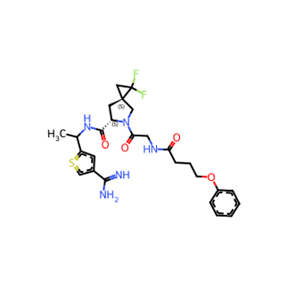 CC(NC(=O)[C@@H]1C[C@@]2(CN1C(=O)CNC(=O)CCCOc1ccccc1)CC2(F)F)c1cc(C(=N)N)cs1